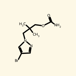 CC(C)(COC(N)=O)Cn1cc(Br)cn1